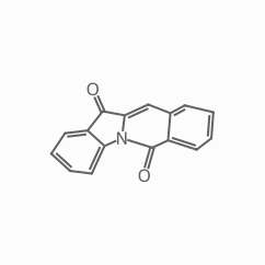 O=C1c2ccccc2-n2c1cc1ccccc1c2=O